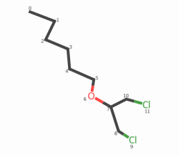 CCCCCCOC(CCl)CCl